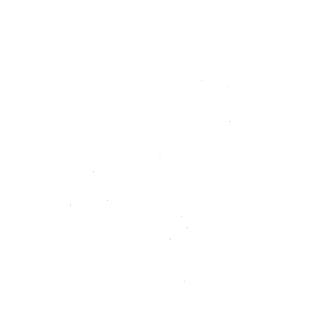 CC(C)(C)c1ccc2c(c1)-c1cc(C(C)(C)C)cc(C3(C4=CC=CC4)CCC3)c1C2